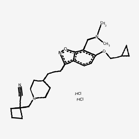 CN(C)Cc1c(OCC2CC2)ccc2c(CCC3CCN(CC4(C#N)CCC4)CC3)noc12.Cl.Cl